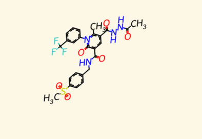 CC(=O)NNC(=O)c1cc(C(=O)NCc2ccc(S(C)(=O)=O)cc2)c(=O)n(-c2cccc(C(F)(F)F)c2)c1C